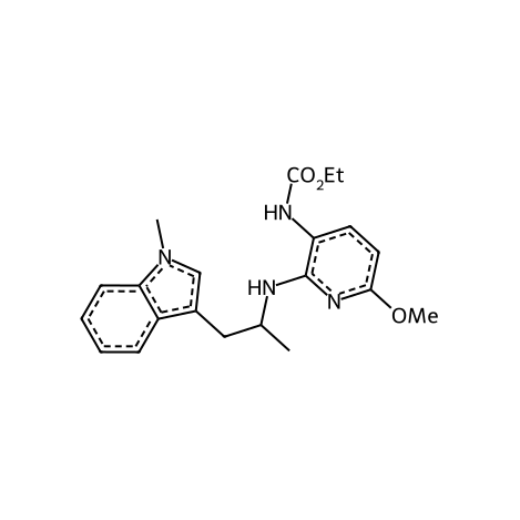 CCOC(=O)Nc1ccc(OC)nc1NC(C)Cc1cn(C)c2ccccc12